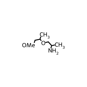 COCC(C)OCC(C)N